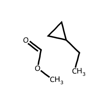 CCC1CC1.COC=O